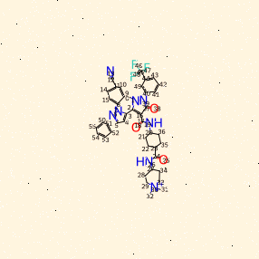 Cn1c(-c2ccnn2-c2ccc(C#N)cc2)c(C(=O)NC2CCC(C(=O)NC3CC[N+](C)(C)CC3)CC2)c(=O)n1-c1cccc(C(F)(F)F)c1.c1ccccc1